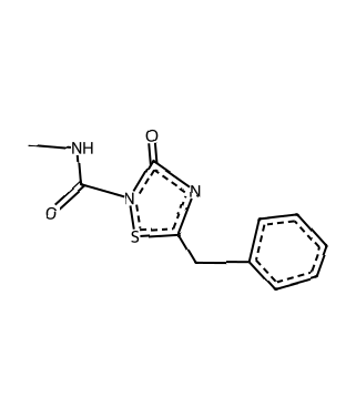 CNC(=O)n1sc(Cc2ccccc2)nc1=O